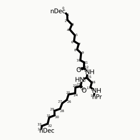 CCCCCCCCCCCCCCCCCCCCCC(=O)NC(CCNCCC)NC(=O)CCCCCCCCCCCCCCCCCCCCC